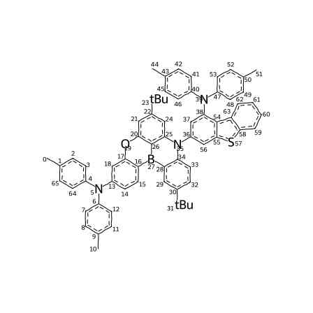 Cc1ccc(N(c2ccc(C)cc2)c2ccc3c(c2)Oc2cc(C(C)(C)C)cc4c2B3c2cc(C(C)(C)C)ccc2N4c2cc(N(c3ccc(C)cc3)c3ccc(C)cc3)c3c(c2)sc2ccccc23)cc1